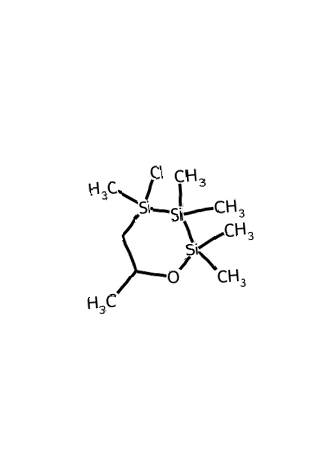 CC1C[Si](C)(Cl)[Si](C)(C)[Si](C)(C)O1